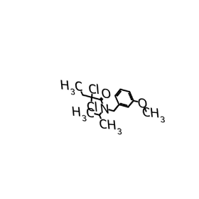 CCC(Cl)(Cl)C(=O)N(Cc1cccc(OC)c1)C(C)C